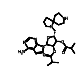 CC(C)C(=O)O[C@@H]1[C@H](OC(=O)C(C)C)[C@@H](CN2CCCC23CCNCC3)O[C@H]1n1ccc2c(N)ncnc21